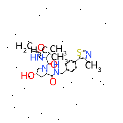 C=CC(=O)N[C@H](C(=O)N1CC(O)CC1C(=O)NCc1ccc(-c2scnc2C)cc1)C(C)(C)C